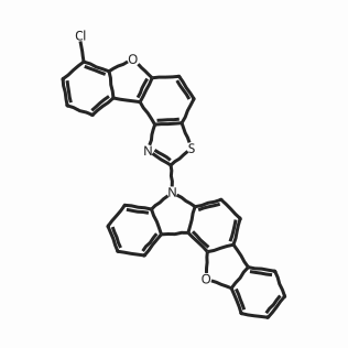 Clc1cccc2c1oc1ccc3sc(-n4c5ccccc5c5c6oc7ccccc7c6ccc54)nc3c12